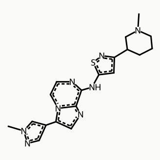 CN1CCCC(c2cc(Nc3nccn4c(-c5cnn(C)c5)cnc34)sn2)C1